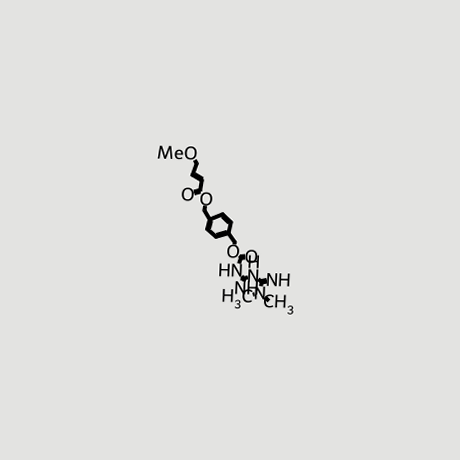 COC/C=C/C(=O)OCc1ccc(COC(=O)NC(=N)NC(=N)N(C)C)cc1